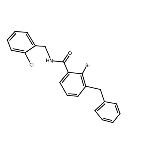 O=C(NCc1ccccc1Cl)c1cccc(Cc2ccccc2)c1Br